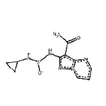 NC(=O)c1c(N[S+]([O-])NC2CC2)nn2cccnc12